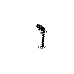 O=C(O)CCCCCCCCCCNC(=O)c1ccc2oc3ccccc3c(=O)c2c1